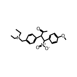 CCN(CC)Cc1ccc(C(C(C)=O)C(c2ccc(OC)cc2)[N+](=O)[O-])cc1